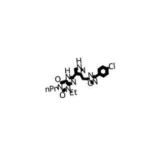 CCCn1c(=O)c2[nH]c(-c3c[nH]nc3Cc3nc(-c4ccc(Cl)cc4)no3)nc2n(CC)c1=O